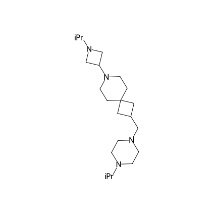 CC(C)N1CCN(CC2CC3(CCN(C4CN(C(C)C)C4)CC3)C2)CC1